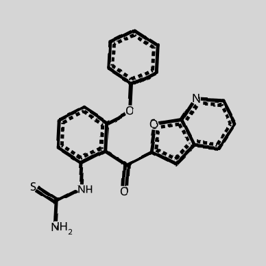 NC(=S)Nc1cccc(Oc2ccccc2)c1C(=O)c1cc2cccnc2o1